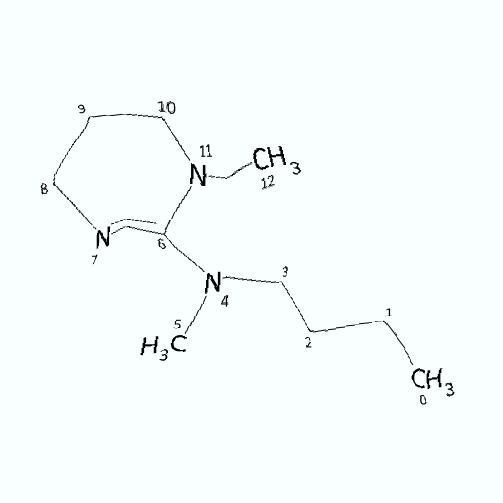 CCCCN(C)C1=NCCCN1C